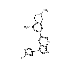 CCn1cc(-c2c[nH]c3nnc(-c4cc(C)c5c(c4)CN(C)CC5)cc23)cn1